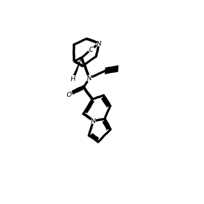 C#CN(C(=O)c1ccc2cccn2c1)[C@H]1CN2CCC1CC2